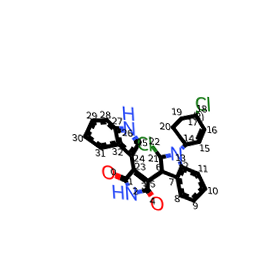 O=C1NC(=O)C(C2c3ccccc3N(C3C=C[C@H](Cl)CC3)C2Cl)=C1c1c[nH]c2ccccc12